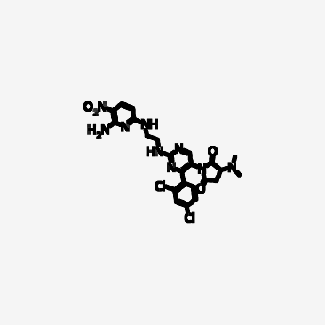 CN(C)C1CC(=O)N(c2cnc(NCCNc3ccc([N+](=O)[O-])c(N)n3)nc2-c2ccc(Cl)cc2Cl)C1=O